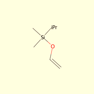 C=CO[Si](C)(C)C(C)C